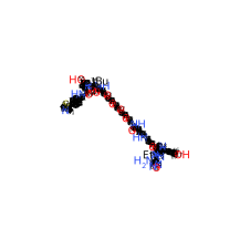 CCn1c(-c2nonc2N)nc2c(C#CC(C)(C)O)ncc(OCCCNCCCC(=O)NCCOCCOCCOCCOCCC(=O)N[C@H](C(=O)N3C[C@H](O)C[C@H]3C(=O)NCc3ccc(-c4scnc4C)cc3)C(C)(C)C)c21